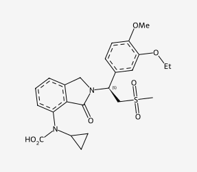 CCOc1cc([C@@H](CS(C)(=O)=O)N2Cc3cccc(N(C(=O)O)C4CC4)c3C2=O)ccc1OC